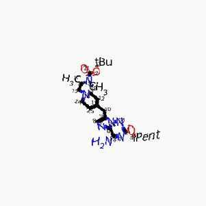 CCC[C@H](C)Oc1nc(N)c2ncc(CC3CCN(CC(C)N(C)C(=O)OC(C)(C)C)CC3)n2n1